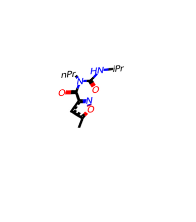 CCCN(C(=O)NC(C)C)C(=O)c1cc(C)on1